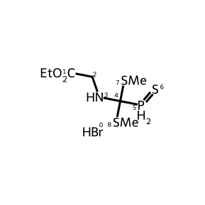 Br.CCOC(=O)CNC([PH2]=S)(SC)SC